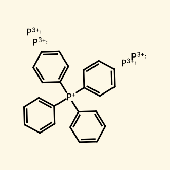 [P+3].[P+3].[P+3].[P+3].c1ccc([P+](c2ccccc2)(c2ccccc2)c2ccccc2)cc1